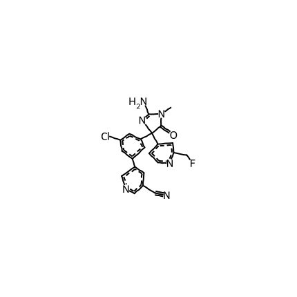 CN1C(=O)C(c2cc(Cl)cc(-c3cncc(C#N)c3)c2)(c2ccnc(CF)c2)N=C1N